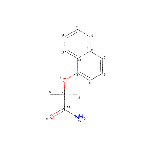 CC(C)(Oc1cccc2ccccc12)C(N)=O